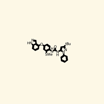 CSc1cc(Oc2cccc3[nH]ncc23)ccc1NC(=O)Nc1cc(C(C)(C)C)nn1-c1ccccc1